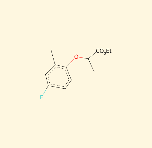 CCOC(=O)C(C)Oc1ccc(F)cc1C